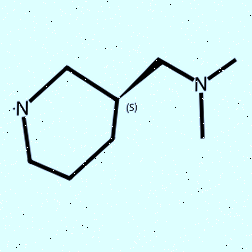 CN(C)C[C@H]1CCC[N]C1